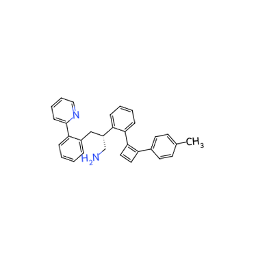 Cc1ccc(C2=C(c3ccccc3[C@H](CN)Cc3ccccc3-c3ccccn3)C=C2)cc1